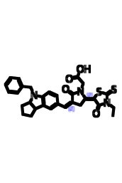 CCN1C(=O)/C(=C2\C/C(=C/c3ccc4c(c3)C3CCCC3N4Cc3ccccc3)C(=O)N2CC(=O)O)SC1=S